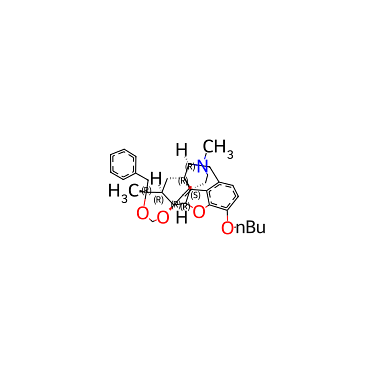 CCCCOc1ccc2c3c1O[C@H]1[C@@]45C=C[C@@]6(C[C@@H]4[C@@](C)(Cc4ccccc4)OCO5)[C@@H](C2)N(C)CC[C@]316